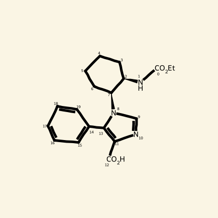 CCOC(=O)N[C@@H]1CCCC[C@@H]1n1cnc(C(=O)O)c1-c1ccccc1